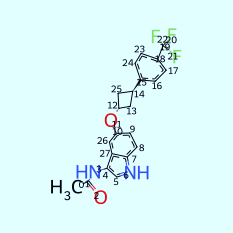 CC(=O)Nc1c[nH]c2ccc(O[C@H]3C[C@H](c4ccc(C(F)(F)F)cc4)C3)cc12